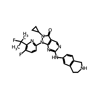 CC(C)(F)c1nc(-n2c3nc(Nc4ccc5c(c4)CCNC5)ncc3c(=O)n2C2CC2)ccc1F